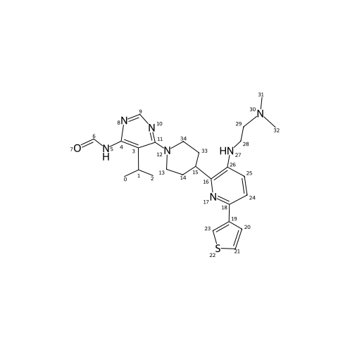 CC(C)c1c(NC=O)ncnc1N1CCC(c2nc(-c3ccsc3)ccc2NCCN(C)C)CC1